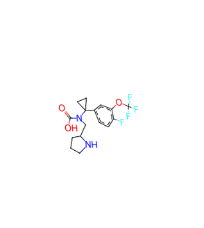 O=C(O)N(CC1CCCN1)C1(c2ccc(F)c(OC(F)(F)F)c2)CC1